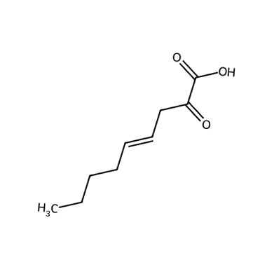 CCCC/C=C/CC(=O)C(=O)O